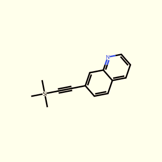 C[Si](C)(C)C#Cc1ccc2cccnc2c1